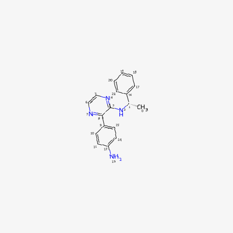 C[C@H](Nc1nccnc1-c1ccc(N)cc1)c1ccccc1